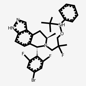 C[C@@H]1Cc2c(ccc3[nH]ncc23)[C@@H](c2c(F)cc(Br)cc2F)N1CC(C)(F)CO[SiH](c1ccccc1)C(C)(C)C